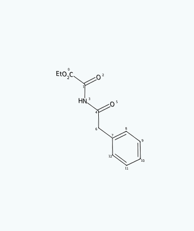 CCOC(=O)C(=O)NC(=O)Cc1ccccc1